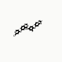 Cc1cc(Nc2ncnc3ccc(Oc4ccnc(Cl)c4)cc23)ccc1Oc1ccn2ncnc2c1